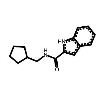 O=C(NCC1CCCC1)c1cc2ccccc2[nH]1